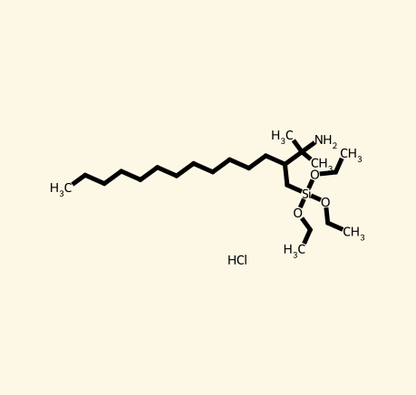 CCCCCCCCCCCCC(C[Si](OCC)(OCC)OCC)C(C)(C)N.Cl